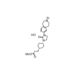 CCN1CCc2ccc(N3CCN([C@H]4CC[C@H](CCC(=O)OC)CC4)C3=O)cc2CC1.Cl